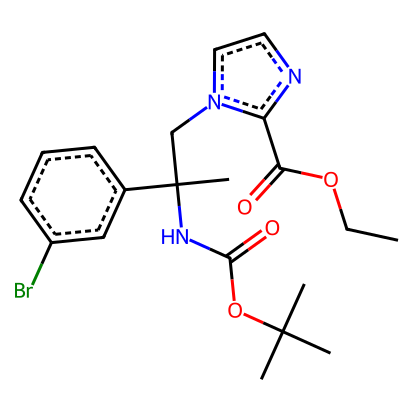 CCOC(=O)c1nccn1CC(C)(NC(=O)OC(C)(C)C)c1cccc(Br)c1